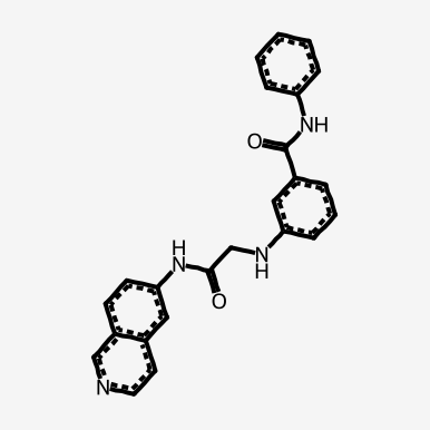 O=C(CNc1cccc(C(=O)Nc2ccccc2)c1)Nc1ccc2cnccc2c1